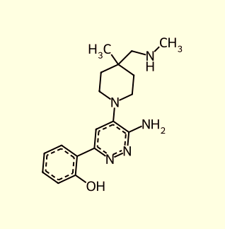 CNCC1(C)CCN(c2cc(-c3ccccc3O)nnc2N)CC1